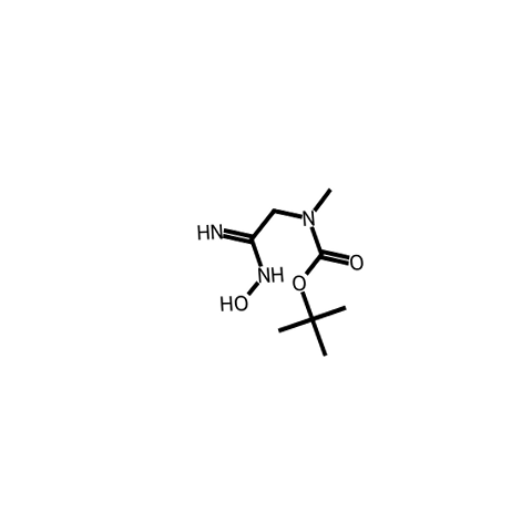 CN(CC(=N)NO)C(=O)OC(C)(C)C